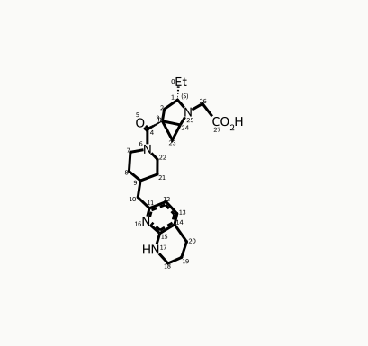 CC[C@H]1C[C@@]2(C(=O)N3CCC(Cc4ccc5c(n4)NCCC5)CC3)CC2N1CC(=O)O